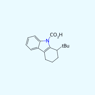 CC(C)(C)C1CCCc2c1n(C(=O)O)c1ccccc21